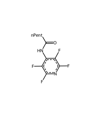 CCCCCC(=O)Nc1c(F)c(F)nc(F)c1F